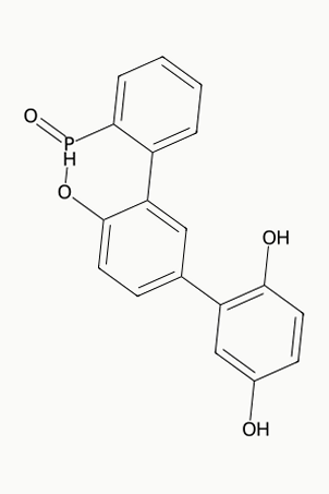 O=[PH]1Oc2ccc(-c3cc(O)ccc3O)cc2-c2ccccc21